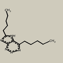 CCCCCc1nc2nnnc(CCCCC)c2[nH]1